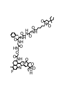 CCC(C)(CC)C1CC(=O)N(CCCCCC(=O)NCC(=O)NCC(=O)N[C@@H](Cc2ccccc2)C(=O)NCC(=O)NCOCC(=O)N[C@H]2CCc3c(C)c(F)cc4nc5c(c2c34)Cn2c-5cc3c(c2=O)COC(=O)[C@]3(O)CC)C1=O